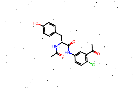 CC(=O)NC(Cc1ccc(O)cc1)C(=O)Nc1ccc(Cl)c(C(C)=O)c1